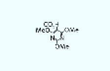 COc1nc(OC)c(C(=O)O)c(OC)n1